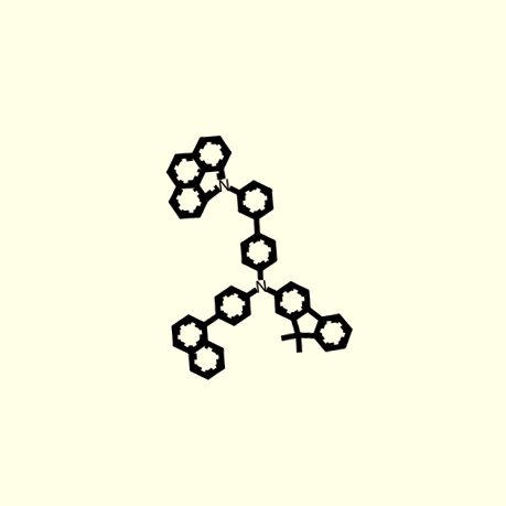 CC1(C)c2ccccc2-c2ccc(N(c3ccc(-c4cccc(-n5c6cccc7ccc8cccc5c8c76)c4)cc3)c3ccc(-c4cccc5ccccc45)cc3)cc21